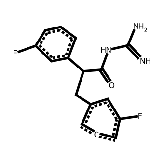 N=C(N)NC(=O)C(Cc1cccc(F)c1)c1cccc(F)c1